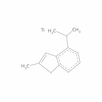 CC1=Cc2c(cccc2C(C)C)[CH]1.[Ti]